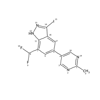 Cc1ncc(-c2cc(C(F)F)c3[nH]nc(I)c3c2)cn1